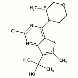 Cc1sc2c(N3CCOC[C@H]3C)nc(Cl)nc2c1C(C)(C)O